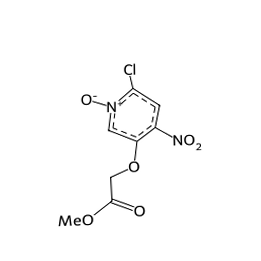 COC(=O)COc1c[n+]([O-])c(Cl)cc1[N+](=O)[O-]